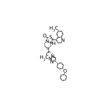 C=C[C@@H](Cn1cc(-c2ccc(Oc3ccccc3)cc2)nn1)[C@H]1CCN2C(=O)S[C@@H](c3ccnc4ccc(C)cc34)[C@@H]2C1